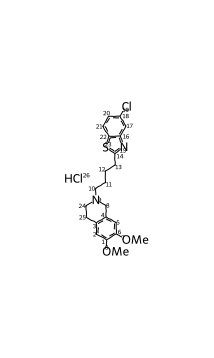 COc1cc2c(cc1OC)CN(CCCCc1nc3cc(Cl)ccc3s1)CC2.Cl